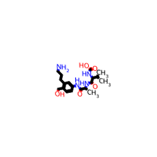 CC(NC(=O)C(NC(=O)O)C(C)C)C(=O)Nc1ccc(CO)c(CCCN)c1